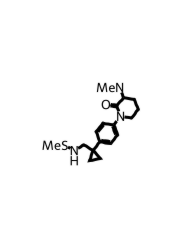 CNC1CCCN(c2ccc(C3(CNSC)CC3)cc2)C1=O